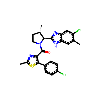 Cc1nc(C(=O)N2CC[C@H](C)[C@H]2c2nc3cc(Cl)c(C)cc3[nH]2)c(-c2ccc(Cl)cc2)s1